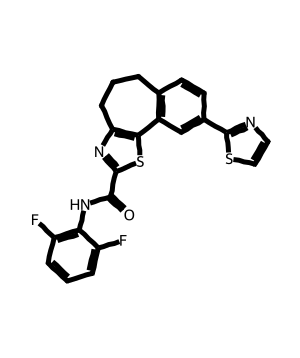 O=C(Nc1c(F)cccc1F)c1nc2c(s1)-c1cc(-c3nccs3)ccc1CCC2